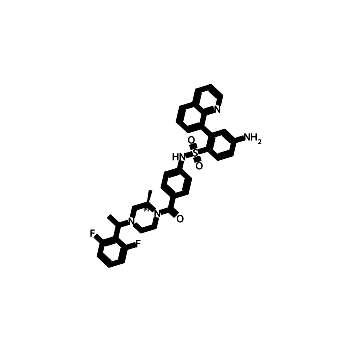 CC(c1c(F)cccc1F)N1CCN(C(=O)c2ccc(NS(=O)(=O)c3ccc(N)cc3-c3cccc4cccnc34)cc2)[C@H](C)C1